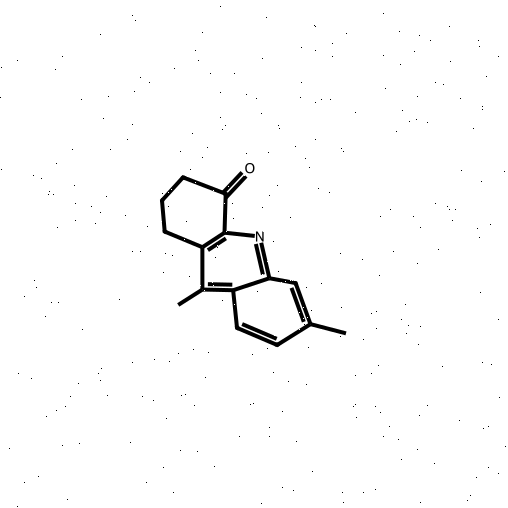 Cc1ccc2c(C)c3c(nc2c1)C(=O)CCC3